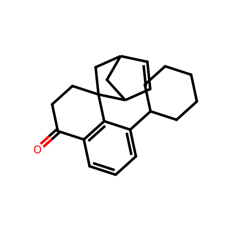 O=C1CCC2(CC3C=CC2C3)c2c1cccc2C1CCCCC1